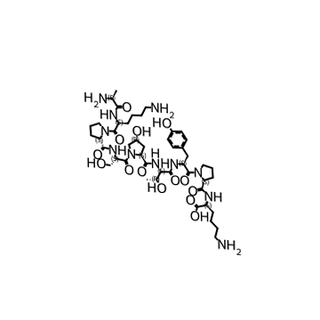 C[C@H](N)C(=O)N[C@@H](CCCCN)C(=O)N1CCC[C@H]1C(=O)N[C@@H](CO)C(=O)N1C[C@H](O)C[C@H]1C(=O)N[C@H](C(=O)N[C@@H](Cc1ccc(O)cc1)C(=O)N1CCC[C@H]1C(=O)N[C@@H](CCCCN)C(=O)O)[C@@H](C)O